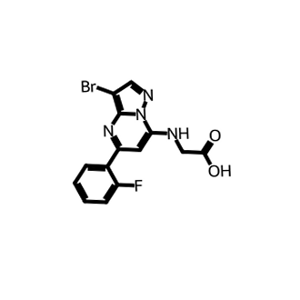 O=C(O)CNc1cc(-c2ccccc2F)nc2c(Br)cnn12